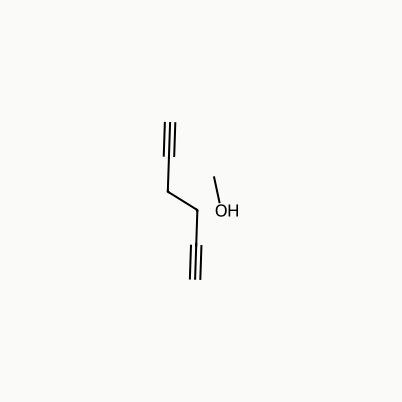 C#CCCC#C.CO